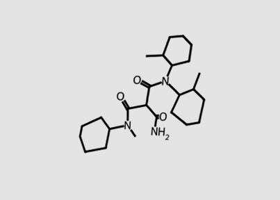 CC1CCCCC1N(C(=O)C(C(N)=O)C(=O)N(C)C1CCCCC1)C1CCCCC1C